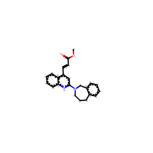 COC(=O)/C=C/c1cc(N2CCCc3ccccc3C2)nc2ccccc12